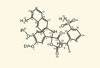 CCOc1cc(C(Nc2ccc3c(N)nccc3c2)(OC(=O)C(F)(F)F)C(=O)NC(C)c2cccc(S(N)(=O)=O)c2)ccc1OC(C)C